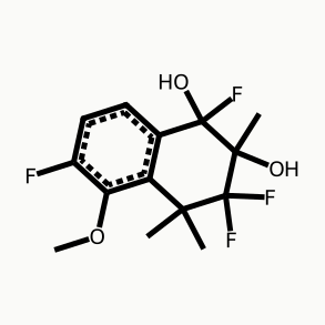 COc1c(F)ccc2c1C(C)(C)C(F)(F)C(C)(O)C2(O)F